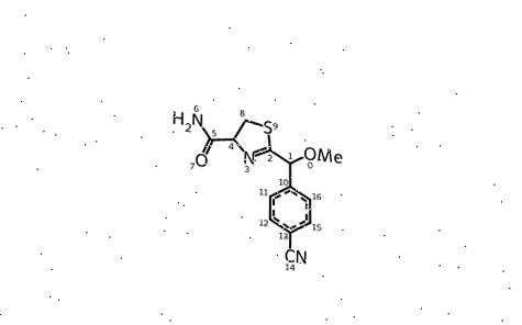 COC(C1=NC(C(N)=O)CS1)c1ccc(C#N)cc1